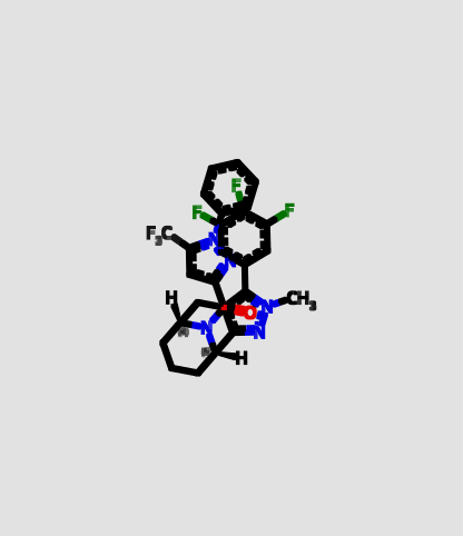 Cn1nc2c(c1-c1cc(F)c(F)c(F)c1)C[C@H]1CCC[C@@H]2N1C(=O)c1cc(C(F)(F)F)n(-c2ccccc2)n1